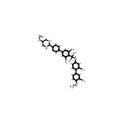 CCCCOC1COC(c2ccc(-c3cc(F)c(C(F)(F)Oc4ccc(-c5ccc(OC(F)(F)F)c(F)c5)c(F)c4)c(F)c3)cc2)OC1